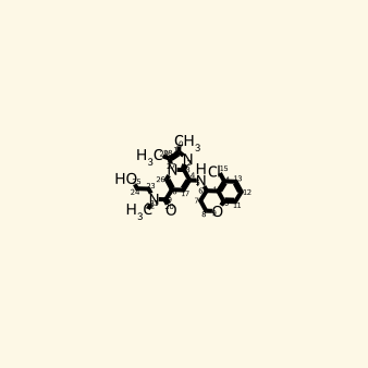 Cc1nc2c(NC3CCOc4cccc(Cl)c43)cc(C(=O)N(C)CCO)cn2c1C